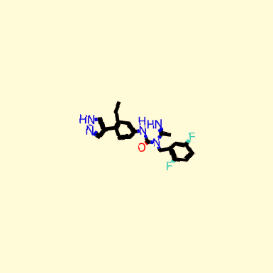 CCc1cc(NC(=O)N(Cc2cc(F)ccc2F)C(C)=N)ccc1-c1cn[nH]c1